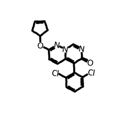 O=c1ncn2nc(OC3CC=CC3)ccc2c1-c1c(Cl)cccc1Cl